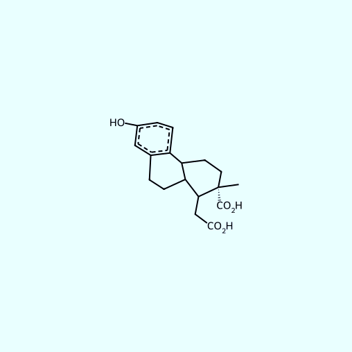 C[C@]1(C(=O)O)CCC2c3ccc(O)cc3CCC2C1CC(=O)O